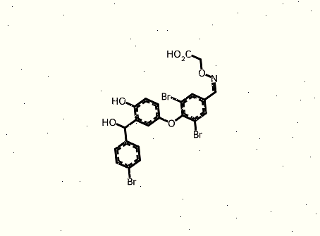 O=C(O)CO/N=C\c1cc(Br)c(Oc2ccc(O)c(C(O)c3ccc(Br)cc3)c2)c(Br)c1